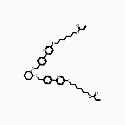 C=CC(=O)OCCCCCCOc1ccc(-c2ccc(CO[C@@H]3CCCC[C@H]3OCc3ccc(-c4ccc(OCCCCCCOC(=O)C=C)cn4)cc3)cc2)nc1